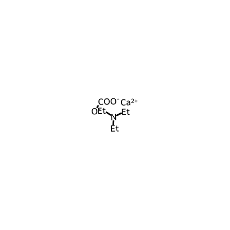 CCN(CC)CC.O=C([O-])[O-].[Ca+2]